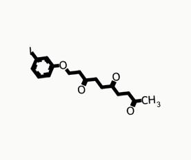 CC(=O)CCC(=O)CCC(=O)CCOc1cccc(I)c1